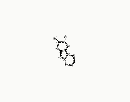 Clc1cc2c(cc1Br)oc1ccccc12